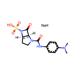 CN(C)c1ccc(NC(=O)N2CC[C@@H]3[C@H]2C(=O)N3S(=O)(=O)O)cc1.[NaH]